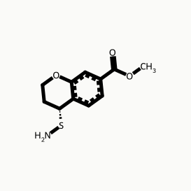 COC(=O)c1ccc2c(c1)OCC[C@H]2SN